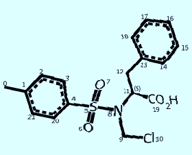 Cc1ccc(S(=O)(=O)N(CCl)[C@@H](Cc2ccccc2)C(=O)O)cc1